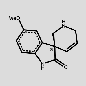 COc1ccc2c(c1)[C@]1(C=CCNC1)C(=O)N2